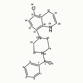 O=C(c1ccccc1)N1CCN(c2[c]cc(Cl)c3c2NC=CC3)CC1